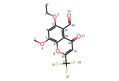 CCOc1cc(OC)c2oc(C(F)(F)F)cc(=O)c2c1C=O